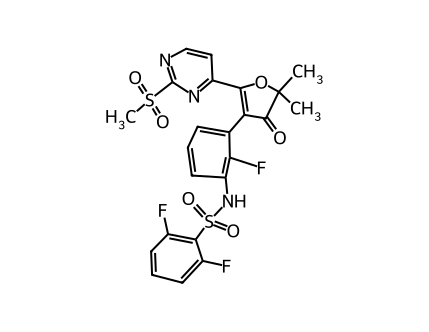 CC1(C)OC(c2ccnc(S(C)(=O)=O)n2)=C(c2cccc(NS(=O)(=O)c3c(F)cccc3F)c2F)C1=O